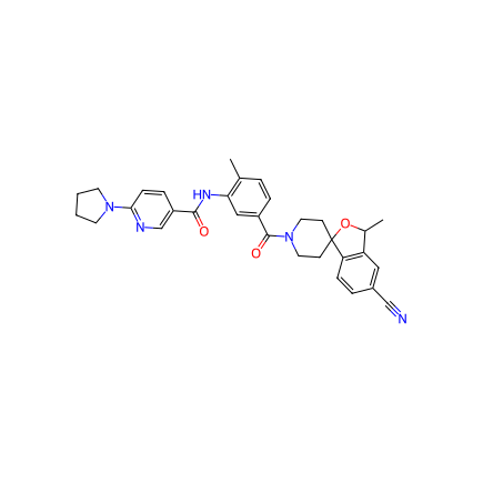 Cc1ccc(C(=O)N2CCC3(CC2)OC(C)c2cc(C#N)ccc23)cc1NC(=O)c1ccc(N2CCCC2)nc1